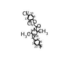 C[C@@H]1CN(C(=O)COc2ccc(Cl)cc2Cl)[C@@H](C)CN1Cc1ccc(F)cc1